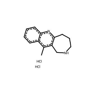 Cc1c2c(nc3ccccc13)CCCNC2.Cl.Cl